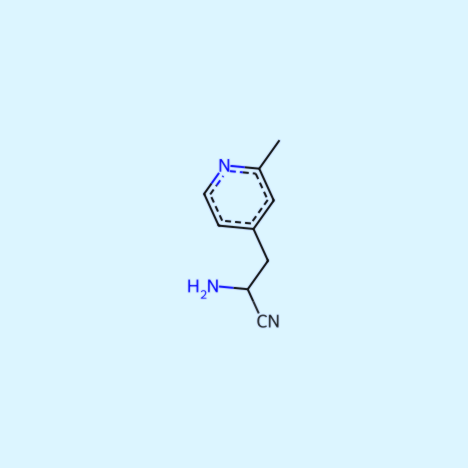 Cc1cc(CC(N)C#N)ccn1